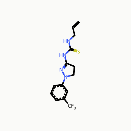 C=CCNC(=S)NC1=NN(c2cccc(C(F)(F)F)c2)CC1